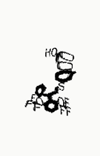 Cc1cc(SCC=C(c2ccccc2OC(F)(F)F)c2ccccc2OC(F)(F)F)ccc1OCC(=O)O